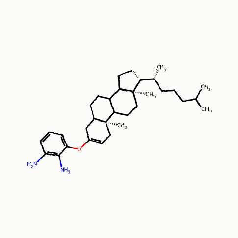 CC(C)CCC[C@@H](C)[C@H]1CCC2C3CCC4CC(Oc5cccc(N)c5N)=CC[C@]4(C)C3CC[C@@]21C